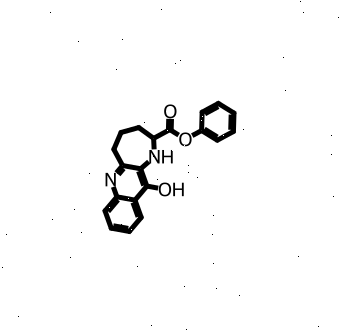 O=C(Oc1ccccc1)C1CCCc2nc3ccccc3c(O)c2N1